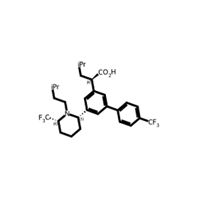 CC(C)CCN1[C@H](c2cc(-c3ccc(C(F)(F)F)cc3)cc([C@@H](CC(C)C)C(=O)O)c2)CCC[C@@H]1C(F)(F)F